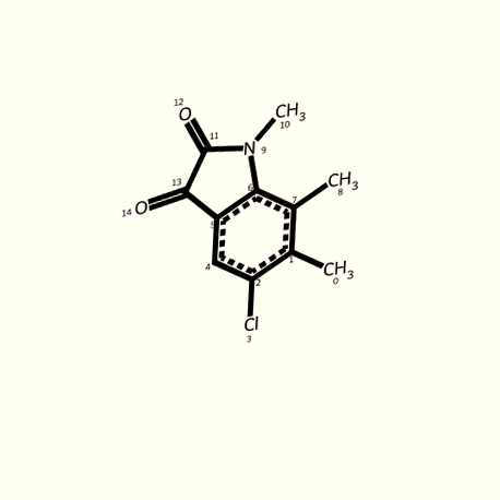 Cc1c(Cl)cc2c(c1C)N(C)C(=O)C2=O